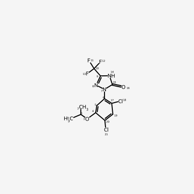 CC(C)Oc1cc(-n2nc(C(F)(F)F)[nH]c2=O)c(Cl)cc1Cl